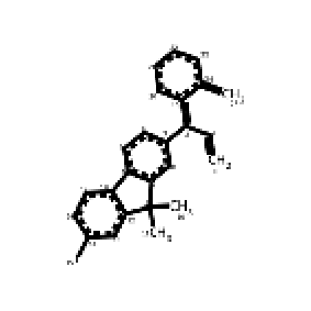 C=C/C(c1ccc2c(c1)C(C)(C)c1cc(I)ccc1-2)=c1/ccccc1=C